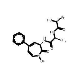 CC(C)[C@H](O)C(=O)N[C@@H](C)C(=O)N[C@H]1C=C(c2ccccc2)C=CN(O)C1=O